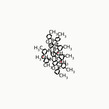 Cc1cc(C)cc(N2c3cc4c(cc3B(c3c(C)cc(C)cc3C)c3c2cc2c5c3Oc3ccc(C)cc3B5c3cc(C)ccc3O2)B(c2c(C)cc(C)cc2C)c2c(cc3c5c2Oc2ccc(C)cc2B5c2cc(C)ccc2O3)N4c2cc(C)cc(C)c2)c1